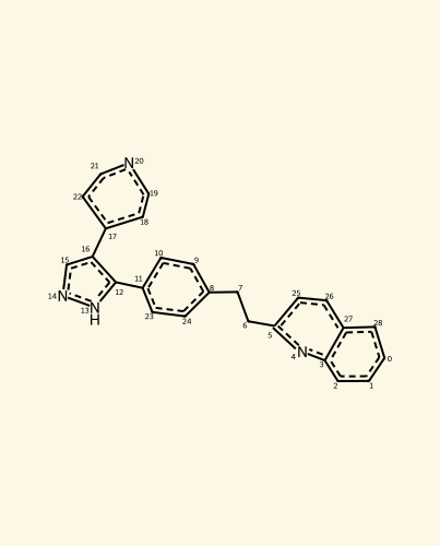 c1ccc2nc(CCc3ccc(-c4[nH]ncc4-c4ccncc4)cc3)ccc2c1